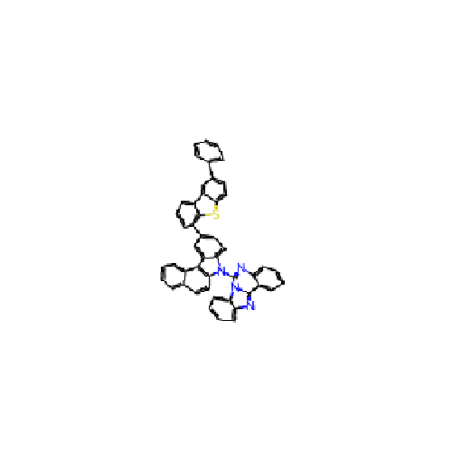 c1ccc(-c2ccc3sc4c(-c5ccc6c(c5)c5c7ccccc7ccc5n6-c5nc6ccccc6c6nc7ccccc7n56)cccc4c3c2)cc1